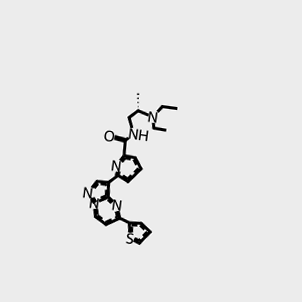 CCN(CC)[C@@H](C)CNC(=O)c1cccc(-c2cnn3ccc(-c4cccs4)nc23)n1